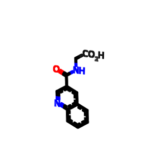 O=C(O)CNC(=O)c1cnc2ccccc2c1